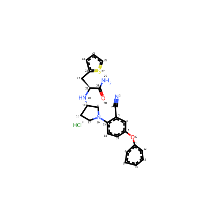 Cl.N#Cc1cc(Oc2ccccc2)ccc1N1CC[C@H](N[C@@H](Cc2cccs2)C(N)=O)C1